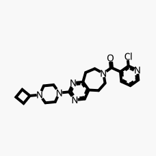 O=C(c1cccnc1Cl)N1CCc2cnc(N3CCN(C4CCC4)CC3)nc2CC1